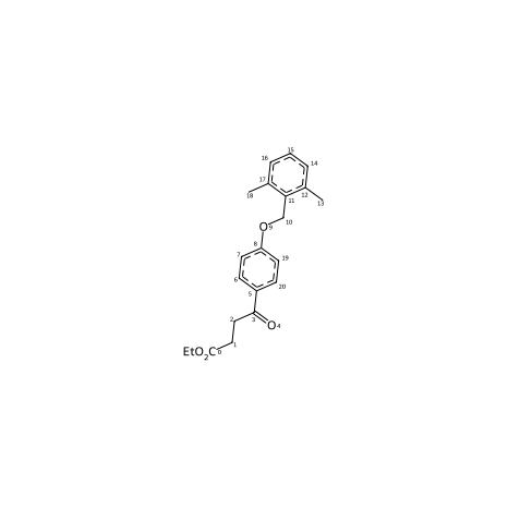 CCOC(=O)CCC(=O)c1ccc(OCc2c(C)cccc2C)cc1